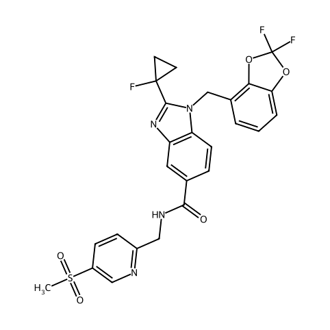 CS(=O)(=O)c1ccc(CNC(=O)c2ccc3c(c2)nc(C2(F)CC2)n3Cc2cccc3c2OC(F)(F)O3)nc1